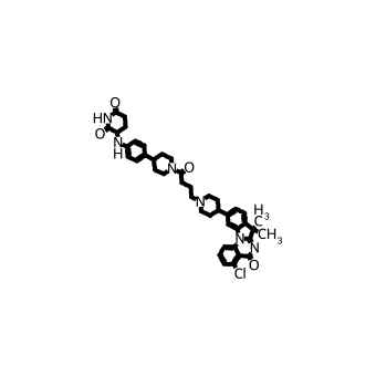 CC1(C)c2ccc(C3CCN(CCCC(=O)N4CCC(c5ccc(NC6CCC(=O)NC6=O)cc5)CC4)CC3)cc2-n2c1nc(=O)c1c(Cl)cccc12